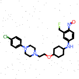 O=Nc1ccc(NC2CCC(OCCN3CCN(c4ccc(Cl)cc4)CC3)CC2)cc1CF